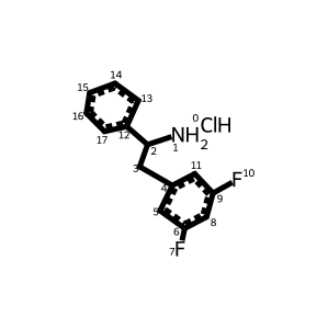 Cl.NC(Cc1cc(F)cc(F)c1)c1ccccc1